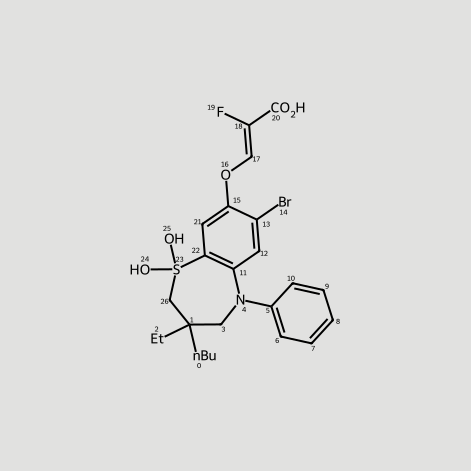 CCCCC1(CC)CN(c2ccccc2)c2cc(Br)c(O/C=C(\F)C(=O)O)cc2S(O)(O)C1